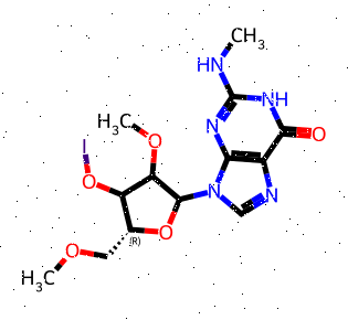 CNc1nc2c(ncn2C2O[C@H](COC)C(OI)C2OC)c(=O)[nH]1